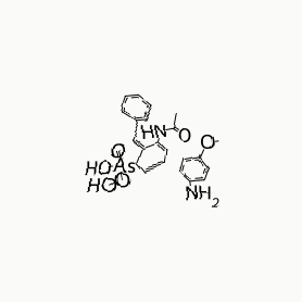 CC(=O)NC1=CC=CC([As](=O)(O)OO)C1=Cc1ccccc1.COc1ccc(N)cc1